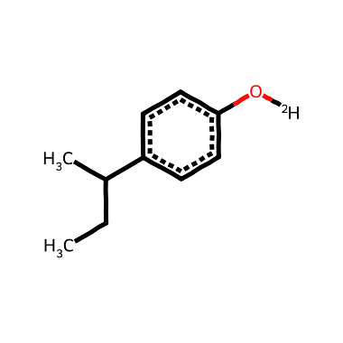 [2H]Oc1ccc(C(C)CC)cc1